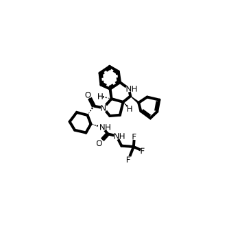 O=C(NCC(F)(F)F)N[C@@H]1CCCC[C@@H]1C(=O)N1CC[C@@H]2[C@H](C3C=CC=CC3)Nc3ccccc3[C@@H]21